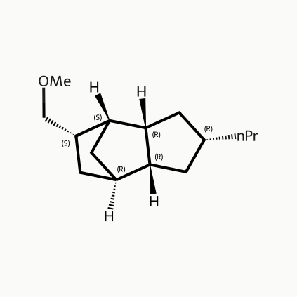 CCC[C@H]1C[C@@H]2[C@H](C1)[C@H]1C[C@H](COC)[C@H]2C1